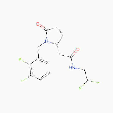 O=C(CC1CCC(=O)N1Cc1cccc(F)c1F)NCC(F)F